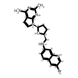 Cc1nc(N)c2ccn([C@H]3CC[C@@H](CNc4ccc5cc(Br)cnc5c4)O3)c2n1